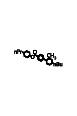 CCCCC1CCC(c2ccc(C(=O)OC3CCC(CCC)CC3)cc2)C(C)C1